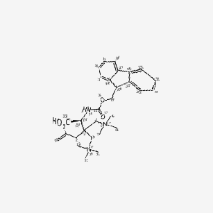 C=CCC(C[N+](C)(C)C)(C[N+](C)(C)C)[C@H](NC(=O)OCC1c2ccccc2-c2ccccc21)C(=O)O